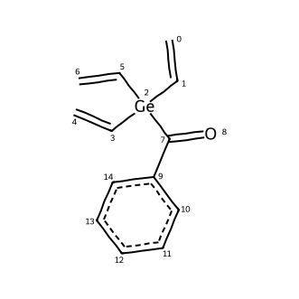 C=[CH][Ge]([CH]=C)([CH]=C)[C](=O)c1ccccc1